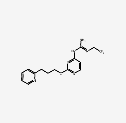 NC(=NCC(F)(F)F)Nc1ccnc(OCCCc2ccccn2)n1